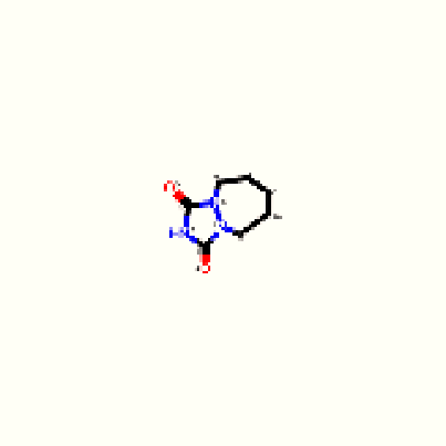 O=c1[nH]c(=O)n2n1CCCCC2